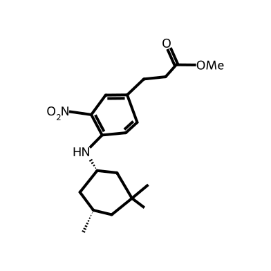 COC(=O)CCc1ccc(N[C@H]2C[C@@H](C)CC(C)(C)C2)c([N+](=O)[O-])c1